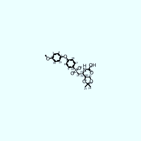 COc1ccc(Oc2ccc(S(=O)(=O)C[C@@H](NC(=O)O)[C@H]3COC(C)(C)O3)cc2)cc1